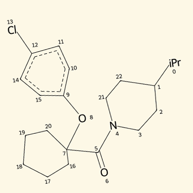 CC(C)C1CCN(C(=O)C2(Oc3ccc(Cl)cc3)CCCCC2)CC1